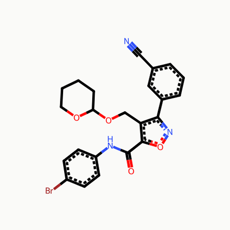 N#Cc1cccc(-c2noc(C(=O)Nc3ccc(Br)cc3)c2COC2CCCCO2)c1